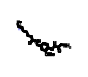 COc1cc(CNC(=O)CCCC/C=C/C(C)C)ccc1ONC(=O)CN